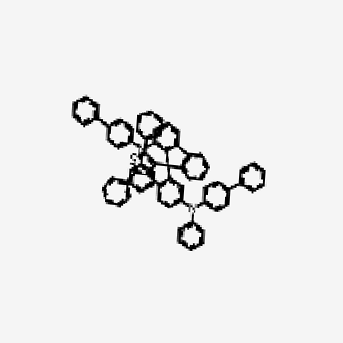 c1ccc(-c2ccc(N(c3ccccc3)c3ccc4c(c3)C3(c5ccccc5-c5cccc(N(c6ccccc6)c6ccc(-c7ccccc7)cc6)c53)c3c(-c5ccccc5)sc(-c5ccccc5)c3-4)cc2)cc1